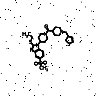 CCSc1nc2cc(S(C)(=O)=O)ccc2n1C1CCN(C(=O)C2CCN(CC3C=CSC3)CC2)CC1